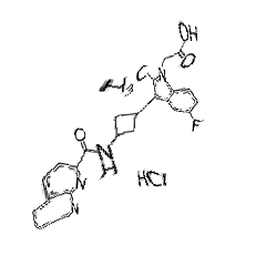 Cc1c(C2CC(NC(=O)c3ccc4cccnc4n3)C2)c2cc(F)ccc2n1CC(=O)O.Cl